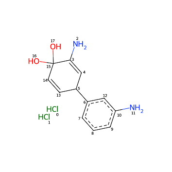 Cl.Cl.NC1=CC(c2cccc(N)c2)C=CC1(O)O